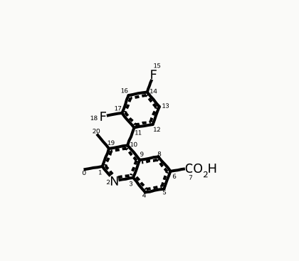 Cc1nc2ccc(C(=O)O)cc2c(-c2ccc(F)cc2F)c1C